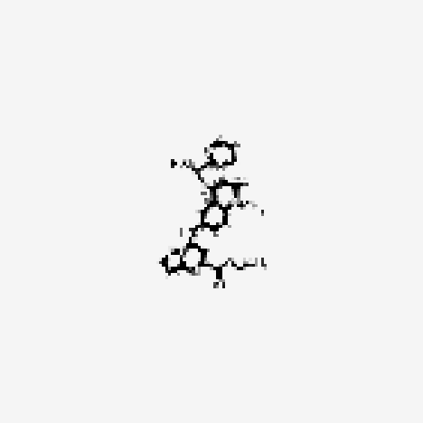 CCOC(=O)c1cc(Nc2ccc3c(c2)c(NC(C)c2ncccn2)cc(=O)n3C)n2nccc2n1